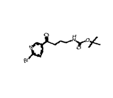 CC(C)(C)OC(=O)NCCCC(=O)c1ccc(Br)nc1